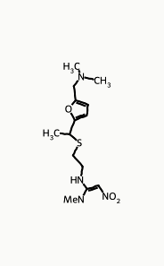 CNC(=C[N+](=O)[O-])NCCSC(C)c1ccc(CN(C)C)o1